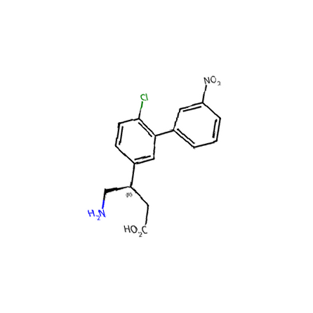 NC[C@H](CC(=O)O)c1ccc(Cl)c(-c2cccc([N+](=O)[O-])c2)c1